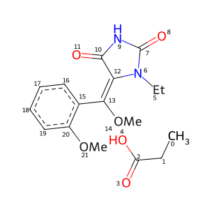 CCC(=O)O.CCN1C(=O)NC(=O)C1=C(OC)c1ccccc1OC